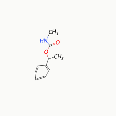 CNC(=O)OC(C)c1ccccc1